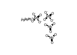 [O]=[Mn](=[O])([O-])[O-].[O]=[Mn](=[O])([O-])[O-].[O]=[Nb](=[O])[O-].[O]=[Nb](=[O])[O-].[Pb+2].[Pb+2].[Pb+2]